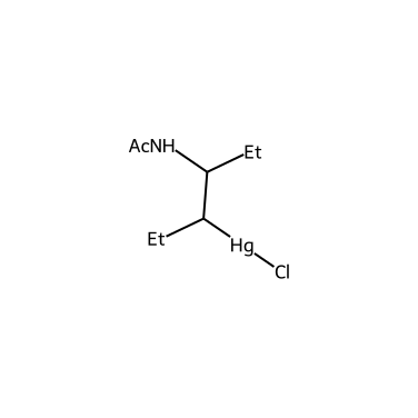 CCC(NC(C)=O)[CH](CC)[Hg][Cl]